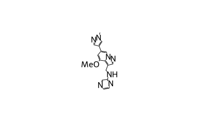 COc1cc(-c2cnn(C)c2)cn2ncc(CNc3cnccn3)c12